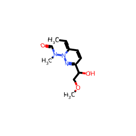 C/C=C1/C=CC(C(O)COC)=NN1N(C)C=O